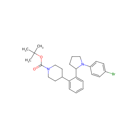 CC(C)(C)OC(=O)N1CCC(c2ccccc2C2CCCN2c2ccc(Br)cc2)CC1